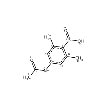 CC(=O)Nc1cc(C)c(S(=O)O)c(C)c1